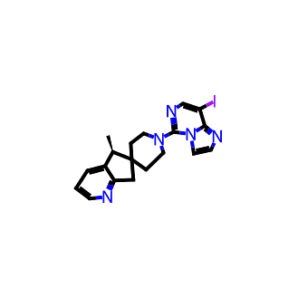 C[C@@H]1c2cccnc2CC12CCN(c1ncc(I)c3nccn13)CC2